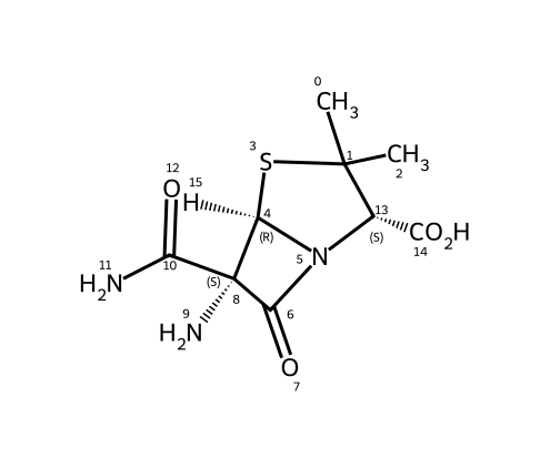 CC1(C)S[C@H]2N(C(=O)[C@@]2(N)C(N)=O)[C@H]1C(=O)O